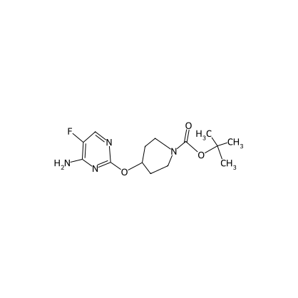 CC(C)(C)OC(=O)N1CCC(Oc2ncc(F)c(N)n2)CC1